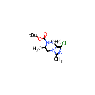 Cc1nc(Cl)c(C=O)n1CC(C)NC(=O)OC(C)(C)C